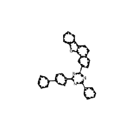 c1ccc(-c2ccc(-c3nc(-c4ccccc4)nc(-c4ccc5ccc6c7ccccc7oc6c5c4)n3)cc2)cc1